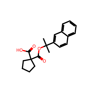 CC(C)(OC(=O)C1(C(=O)O)CCCC1)c1ccc2ccccc2c1